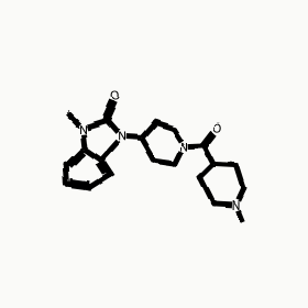 CN1CCC(C(=O)N2CCC(n3c(=O)n(C)c4ccccc43)CC2)CC1